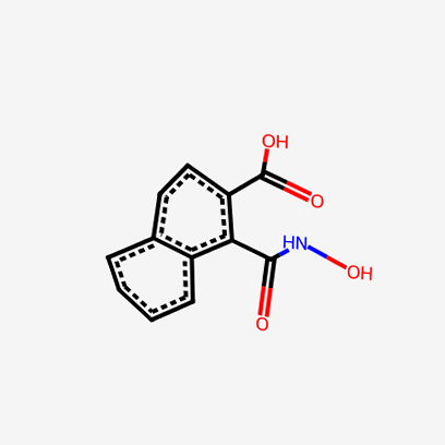 O=C(O)c1ccc2ccccc2c1C(=O)NO